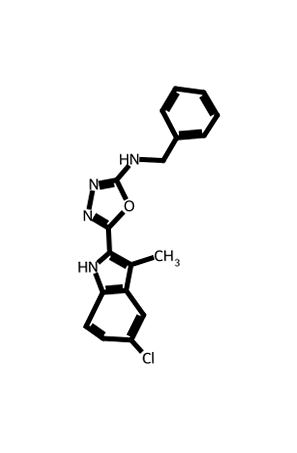 Cc1c(-c2nnc(NCc3ccccc3)o2)[nH]c2ccc(Cl)cc12